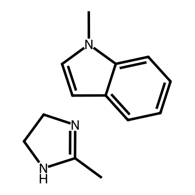 CC1=NCCN1.Cn1ccc2ccccc21